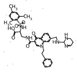 Cc1cc(C)c(S(=O)(=O)NC(CNC(=O)c2cn(CCc3ccccc3)c3cc(CNC4N=CCCN4)ccc3c2=O)C(=O)O)c(C)c1